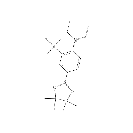 CCN(CC)c1ccc(B2OC(C)(C)C(C)(C)O2)cc1[Si](C)(C)C